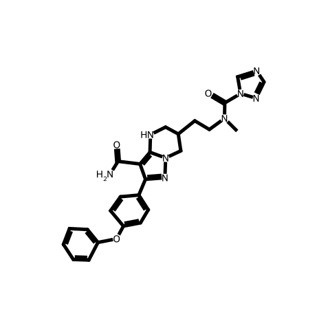 CN(CCC1CNc2c(C(N)=O)c(-c3ccc(Oc4ccccc4)cc3)nn2C1)C(=O)n1cncn1